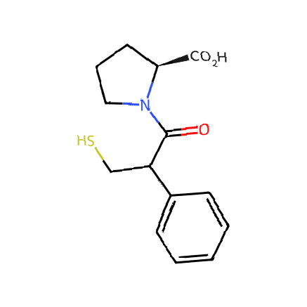 O=C(O)[C@@H]1CCCN1C(=O)C(CS)c1ccccc1